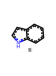 [B].c1ccc2[nH]ccc2c1